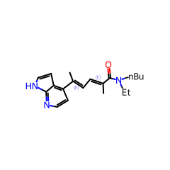 CCCCN(CC)C(=O)/C(C)=C/C=C(\C)c1ccnc2[nH]ccc12